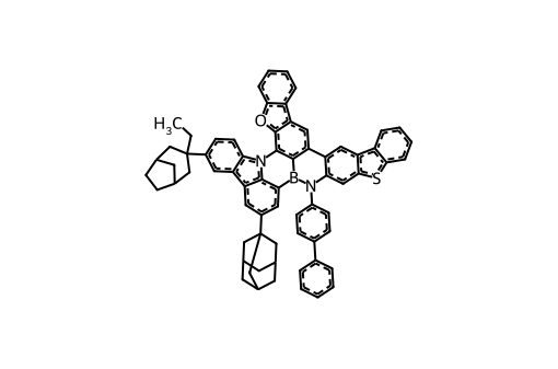 CCC1(c2ccc3c(c2)c2cc(C45CC6CC(CC(C6)C4)C5)cc4c2n3-c2c3c(cc5c2oc2ccccc25)-c2cc5c(cc2N(c2ccc(-c6ccccc6)cc2)B34)sc2ccccc25)CC2CCC(C2)C1